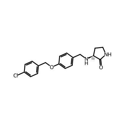 O=C1NCC[C@@H]1NCc1ccc(OCc2ccc(Cl)cc2)cc1